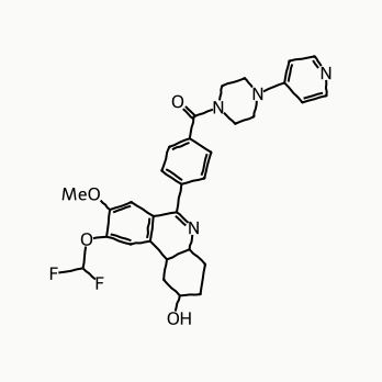 COc1cc2c(cc1OC(F)F)C1CC(O)CCC1N=C2c1ccc(C(=O)N2CCN(c3ccncc3)CC2)cc1